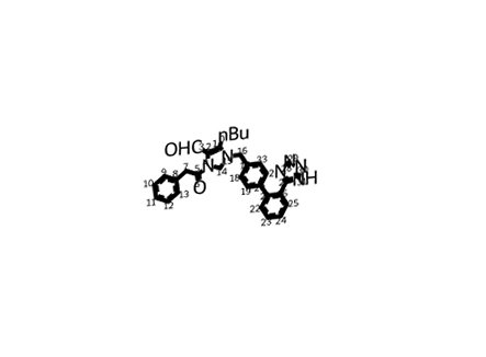 CCCCC1=C(C=O)N(C(=O)Cc2ccccc2)CN1Cc1ccc(-c2ccccc2-c2nnn[nH]2)cc1